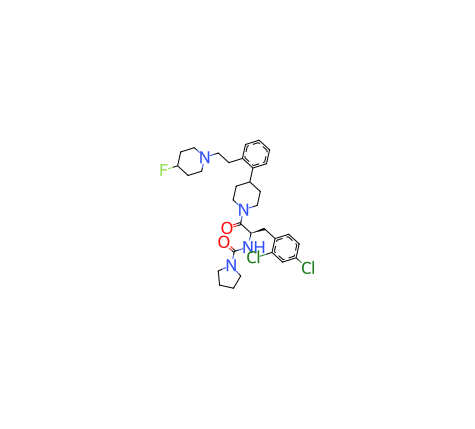 O=C(N[C@H](Cc1ccc(Cl)cc1Cl)C(=O)N1CCC(c2ccccc2CCN2CCC(F)CC2)CC1)N1CCCC1